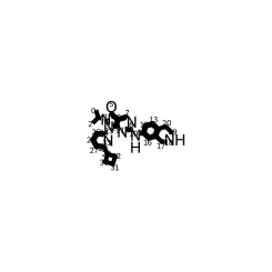 CC(C)n1c(=O)c2cnc(Nc3ccc4c(c3)CNCC4)nc2n1-c1cccc(C2CCC2)n1